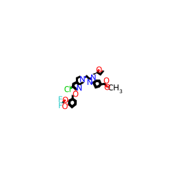 COC(=O)c1ccc2nc(CN3CCc4cc(Cl)c(OCc5cccc6c5OC(F)(F)O6)nc4C3)n(C[C@@H]3CCO3)c2c1